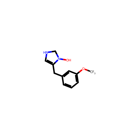 ON1CNC=C1Cc1cccc(OC(F)(F)F)c1